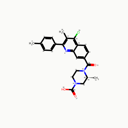 Cc1ccc(-c2nc3cc(C(=O)N4CCN(C(=O)O)C[C@H]4C)ccc3c(Cl)c2C)cc1